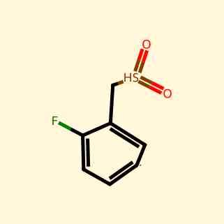 O=[SH](=O)Cc1c[c]ccc1F